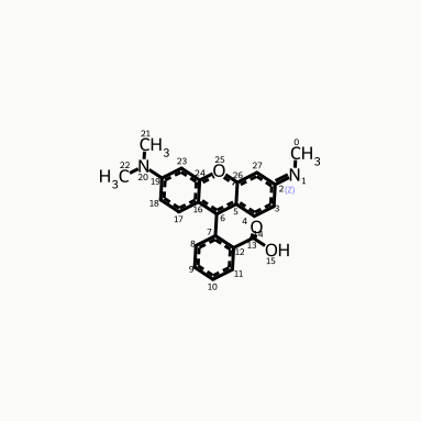 C/N=c1/ccc2c(-c3ccccc3C(=O)O)c3ccc(N(C)C)cc3oc-2c1